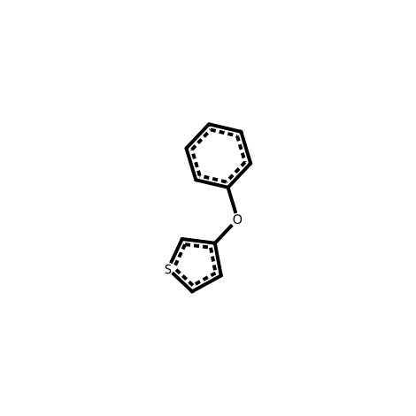 c1ccc(Oc2ccsc2)cc1